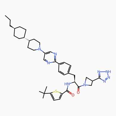 CCC[C@H]1CC[C@H](C2CCN(c3cnc(-c4ccc(C[C@H](NC(=O)c5ccc(C(C)(C)C)s5)C(=O)N5CC(c6nn[nH]n6)C5)cc4)nc3)CC2)CC1